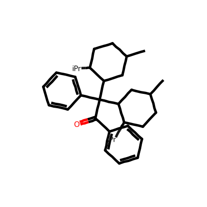 CC1CCC(C(C)C)C(C(C(=O)c2ccccc2)(c2ccccc2)C2CC(C)CCC2C(C)C)C1